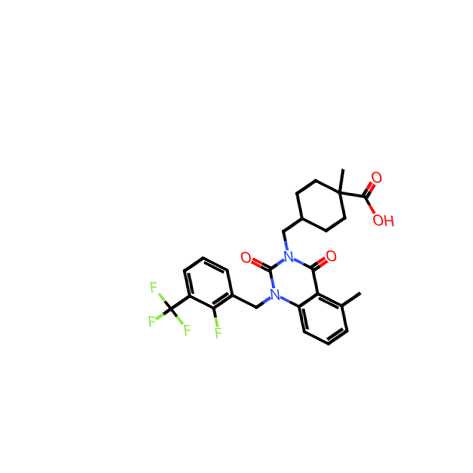 Cc1cccc2c1c(=O)n(CC1CCC(C)(C(=O)O)CC1)c(=O)n2Cc1cccc(C(F)(F)F)c1F